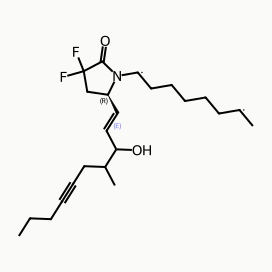 C[CH]CCCCC[CH]N1C(=O)C(F)(F)C[C@@H]1/C=C/C(O)C(C)CC#CCCC